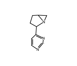 [c]1nccc(C2CCC3CN32)n1